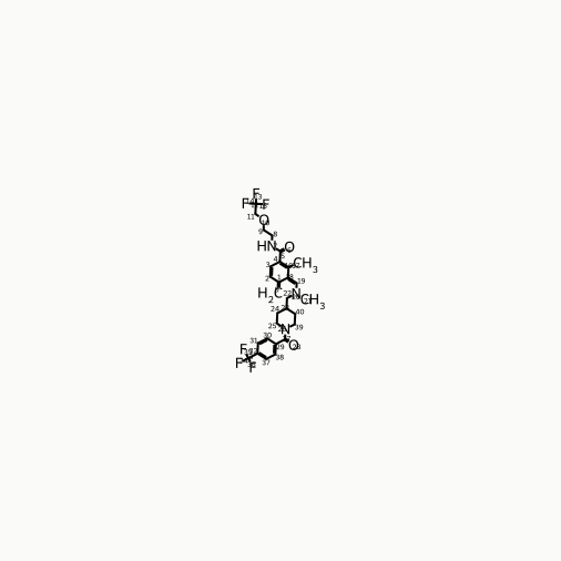 C=c1ccc(C(=O)NCCOCC(F)(F)F)c(C)/c1=C/N(C)CC1CCN(C(=O)c2ccc(C(F)(F)F)cc2)CC1